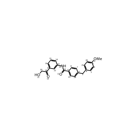 COc1ccc(Cc2ccc(C(=O)Nc3cccc(C(=O)CO)c3)cc2)cc1